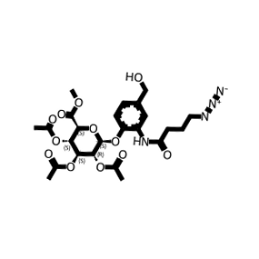 COC(=O)[C@H]1O[C@@H](Oc2ccc(CO)cc2NC(=O)CCCN=[N+]=[N-])[C@H](OC(C)=O)[C@@H](OC(C)=O)[C@@H]1OC(C)=O